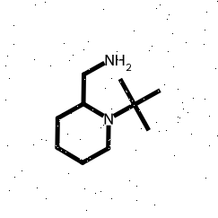 CC(C)(C)N1CCCCC1CN